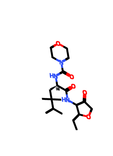 CCC1OCC(=O)C1NC(=O)[C@H](CC(C)(C)C(C)C)NC(=O)N1CCOCC1